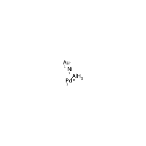 [AlH3].[Au].[Ni].[Pd]